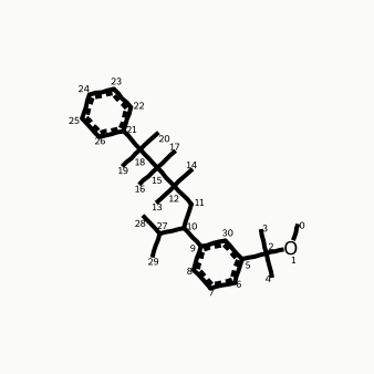 COC(C)(C)c1cccc(C(CC(C)(C)C(C)(C)C(C)(C)c2ccccc2)C(C)C)c1